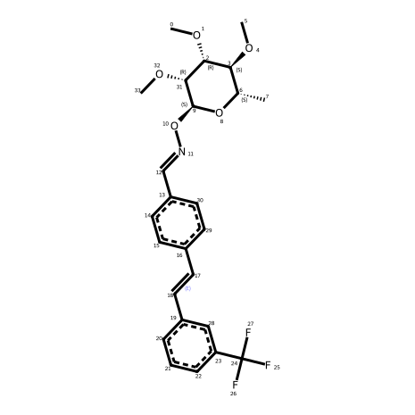 CO[C@@H]1[C@@H](OC)[C@H](C)O[C@@H](ON=Cc2ccc(/C=C/c3cccc(C(F)(F)F)c3)cc2)[C@@H]1OC